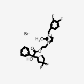 Cc1n(CCOC(=O)[C@](O)(c2ccccc2)[C@@H]2CCC(F)(F)C2)cc[n+]1Cc1ccc(F)c(F)c1.[Br-]